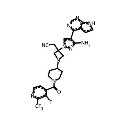 N#CCC1(n2cc(-c3ncnc4[nH]ccc34)c(N)n2)CN(C2CCN(C(=O)c3ccnc(C(F)(F)F)c3F)CC2)C1